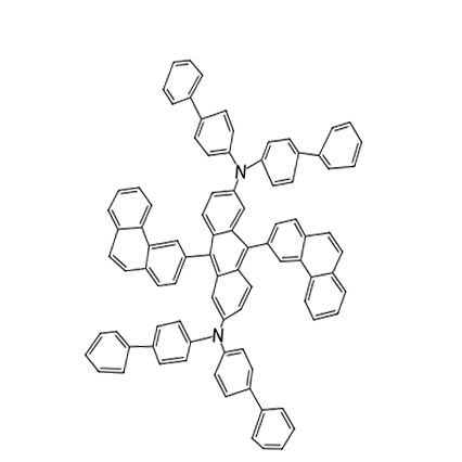 c1ccc(-c2ccc(N(c3ccc(-c4ccccc4)cc3)c3ccc4c(-c5ccc6ccc7ccccc7c6c5)c5cc(N(c6ccc(-c7ccccc7)cc6)c6ccc(-c7ccccc7)cc6)ccc5c(-c5ccc6ccc7ccccc7c6c5)c4c3)cc2)cc1